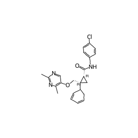 Cc1ncc(OC[C@@]2(C3C=CC=CC3)C[C@H]2C(=O)Nc2ccc(Cl)cc2)c(C)n1